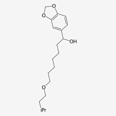 CC(C)CCOCCCCCCC(O)c1ccc2c(c1)OCO2